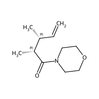 C=C[C@@H](C)[C@@H](C)C(=O)N1CCOCC1